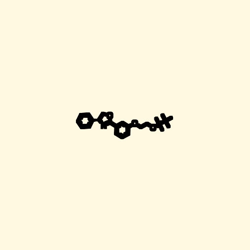 CC(C)(C)[Si](C)(C)OCCOc1cccc(C2=N[C@H](c3ccccc3)CO2)c1